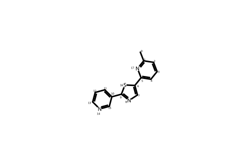 Cc1cccc(-c2cnc(-c3cccnc3)s2)n1